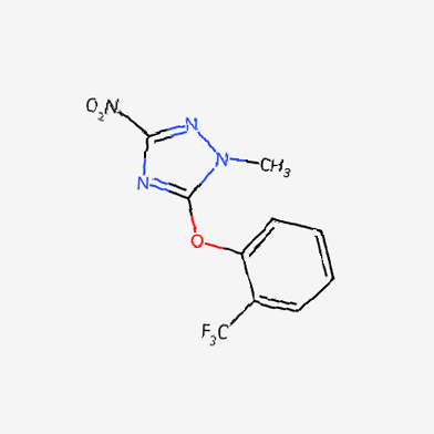 Cn1nc([N+](=O)[O-])nc1Oc1ccccc1C(F)(F)F